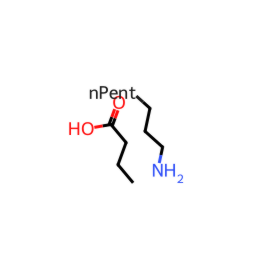 CCCC(=O)O.CCCCCCCCN